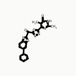 Cc1nc(-c2nnc(C(=O)c3nc4ccc(-c5ccccc5)cc4s3)o2)c(C)c(=O)[nH]1